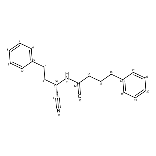 N#C[C@H](CCc1ccccc1)NC(=O)CCCc1ccccc1